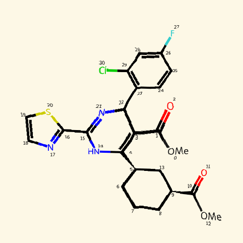 COC(=O)C1=C([C@@H]2CCC[C@H](C(=O)OC)C2)NC(c2nccs2)=NC1c1ccc(F)cc1Cl